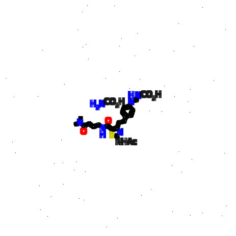 CC(=O)Nc1nc(CCc2ccc(NC=NC(=O)O)cc2)c(C(=O)NCCCC(=O)N(C)C)s1.NC(=O)O